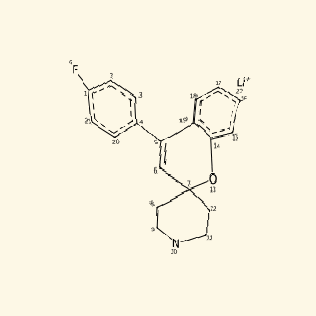 Fc1ccc(C2=CC3(CC[N-]CC3)Oc3ccccc32)cc1.[Li+]